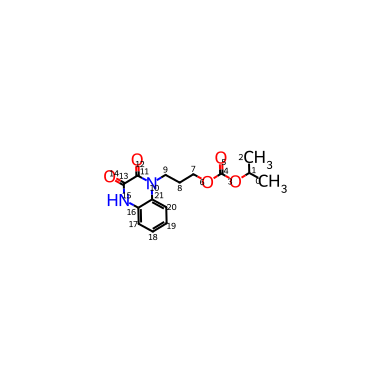 CC(C)OC(=O)OCCCn1c(=O)c(=O)[nH]c2ccccc21